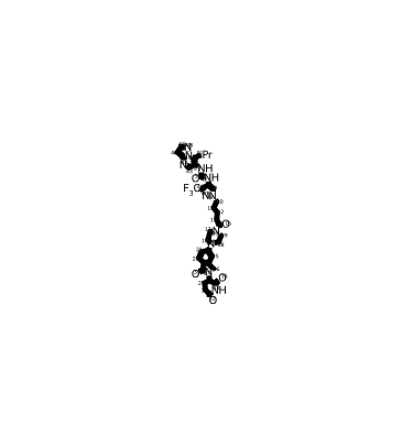 CC(C)c1c(NC(=O)Nc2cn(CCCCC(=O)N3CCN(c4ccc5c(c4)CN(C4CCC(=O)NC4=O)C5=O)CC3)nc2C(F)(F)F)cnc2ccnn12